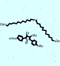 CCCCCCCCCCCCCCCCCCCCC[CH2][Pd][CH2]CCCCCCCCCCCCCCCCCCCCC.CCCCCCc1ccc(C2=C(CC)C(CCCC)=C(c3ccc(CCCC)cc3)[N+]2=[N-])cc1